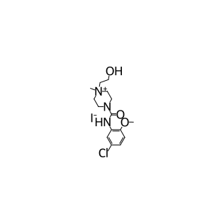 COc1ccc(Cl)cc1NC(=O)N1CC[N+](C)(CCO)CC1.[I-]